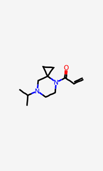 C=CC(=O)N1CCN(C(C)C)CC12CC2